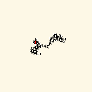 CN(CCCCN1CCN(NC2(C(=O)O)C=CC=C3C(=O)N(C4CCC(=O)NC4=O)C(=O)C32)CC1)CCCOc1nc(N2C[C@@H]3CCC2CN3)c2cc(Cl)c(-c3cc(O)cc4ccccc34)c(F)c2n1